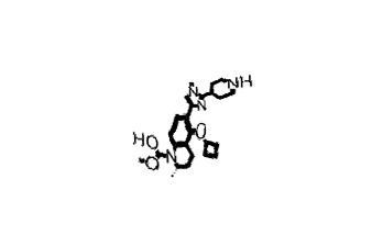 COC(O)N1c2ccc(-c3cn(C)c(C4CCNCC4)n3)c(OC3CCC3)c2CC[C@@H]1C